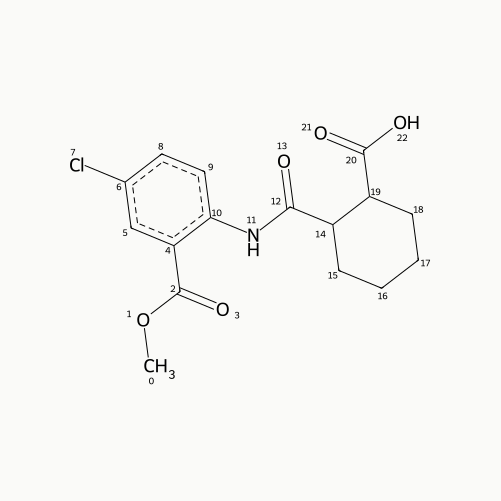 COC(=O)c1cc(Cl)ccc1NC(=O)C1CCCCC1C(=O)O